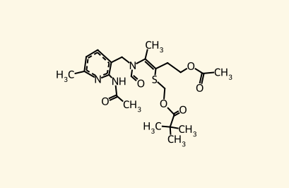 CC(=O)Nc1nc(C)ccc1CN(C=O)/C(C)=C(/CCOC(C)=O)SCOC(=O)C(C)(C)C